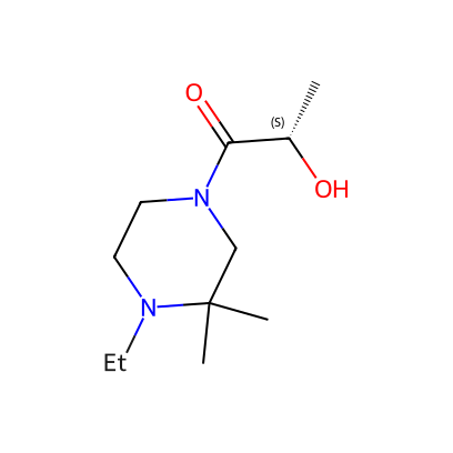 CCN1CCN(C(=O)[C@H](C)O)CC1(C)C